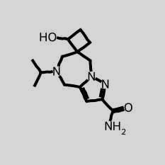 CC(C)N1Cc2cc(C(N)=O)nn2CC2(CCC2O)C1